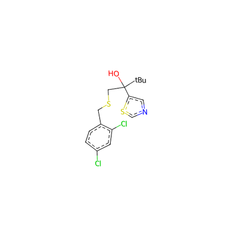 CC(C)(C)C(O)(CSCc1ccc(Cl)cc1Cl)c1cncs1